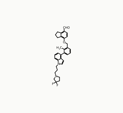 Cc1c(COc2ccc(C=O)c3c2CCC3)cccc1-c1cccc2c1ccn2CCCN1CCC(F)(F)C1